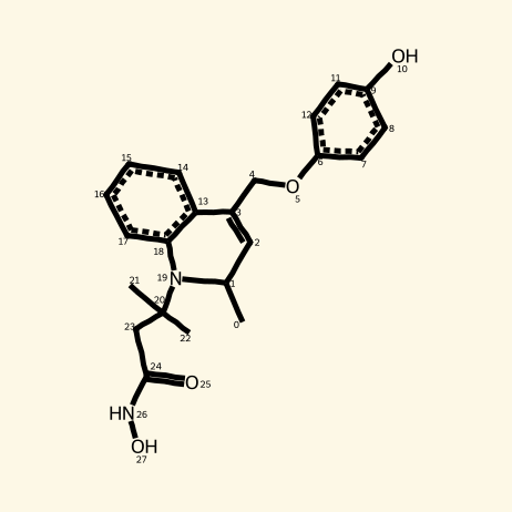 CC1C=C(COc2ccc(O)cc2)c2ccccc2N1C(C)(C)CC(=O)NO